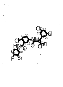 O=C(Nc1cnc(F)c(Br)c1)c1cc(NC(=O)C2C(c3cc(Cl)cc(Cl)c3)C2(Cl)Cl)ccc1Cl